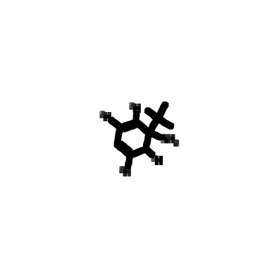 [2H]C1=CC([2H])=C([2H])C(N)(C(C)(C)C)C1[2H]